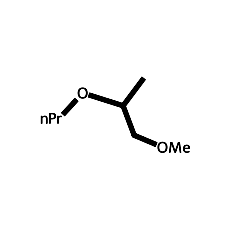 C[CH]COC(C)COC